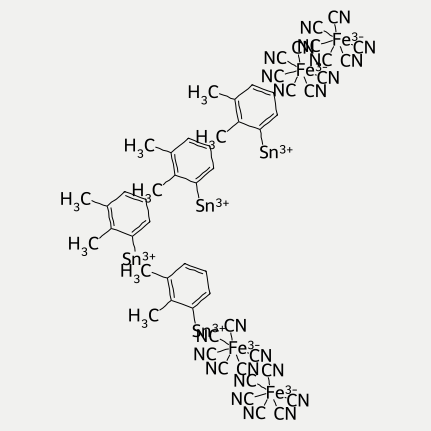 Cc1ccc[c]([Sn+3])c1C.Cc1ccc[c]([Sn+3])c1C.Cc1ccc[c]([Sn+3])c1C.Cc1ccc[c]([Sn+3])c1C.N#[C][Fe-3]([C]#N)([C]#N)([C]#N)([C]#N)[C]#N.N#[C][Fe-3]([C]#N)([C]#N)([C]#N)([C]#N)[C]#N.N#[C][Fe-3]([C]#N)([C]#N)([C]#N)([C]#N)[C]#N.N#[C][Fe-3]([C]#N)([C]#N)([C]#N)([C]#N)[C]#N